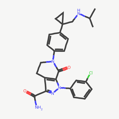 CC(C)NCC1(c2ccc(N3CCc4c(C(N)=O)nn(-c5cccc(Cl)c5)c4C3=O)cc2)CC1